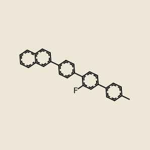 Cc1ccc(-c2ccc(-c3ccc(-c4ccc5ccccc5c4)cc3)c(F)c2)cc1